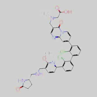 COc1nc(-c2cccc(-c3cccc(-c4ccn5c(=O)c(CN(C)CC(=O)O)cnc5c4)c3Cl)c2Cl)ccc1CNC[C@H]1CCC(=O)N1